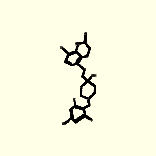 O=C1CCc2c(OCC3(O)CCN(Cc4c(F)cc(Cl)cc4F)CC3)ccc(F)c2N1